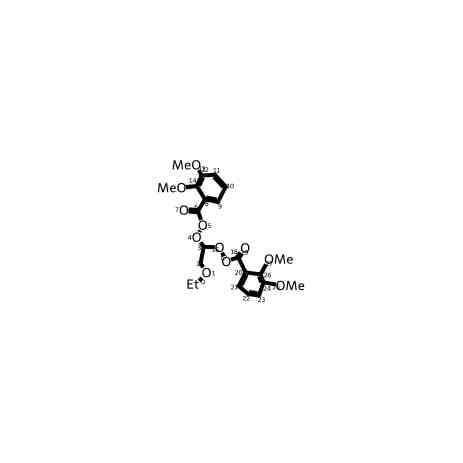 [CH2]COC[C](OOC(=O)c1cccc(OC)c1OC)OOC(=O)c1cccc(OC)c1OC